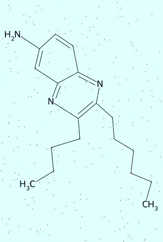 CCCCCCc1nc2ccc(N)cc2nc1CCCC